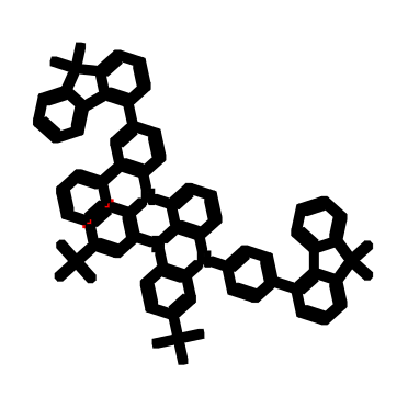 CC(C)(C)c1ccc2c(c1)B1c3ccc(C(C)(C)C)cc3N(c3ccc(-c4cccc5c4-c4ccccc4C5(C)C)cc3)c3cccc(c31)N2c1ccc(-c2cccc3c2-c2ccccc2C3(C)C)cc1-c1ccccc1